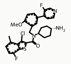 COc1ccc(-c2ccncc2F)cc1CN(C(=O)c1sc2c(F)ccc(C)c2c1Cl)[C@H]1CC[C@H](N)CC1